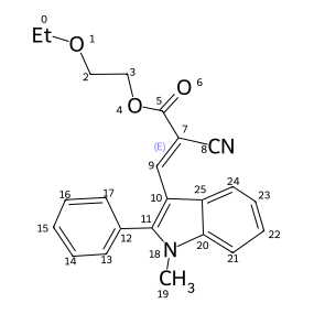 CCOCCOC(=O)/C(C#N)=C/c1c(-c2ccccc2)n(C)c2ccccc12